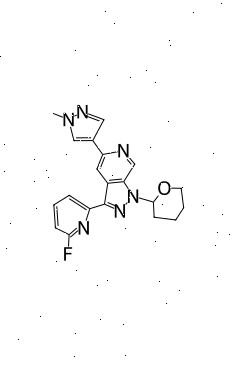 Cn1cc(-c2cc3c(-c4cccc(F)n4)nn(C4CCCCO4)c3cn2)cn1